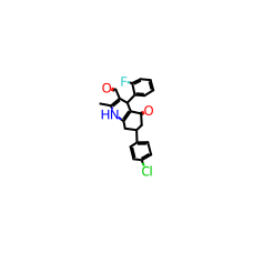 CC1=C(C=O)C(c2ccccc2F)C2=C(CC(c3ccc(Cl)cc3)CC2=O)N1